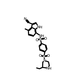 CCC1CN(S(=O)(=O)c2ccc(S(=O)(=O)Nc3ccc(C)c4c(C#N)c[nH]c34)cc2)CCN1